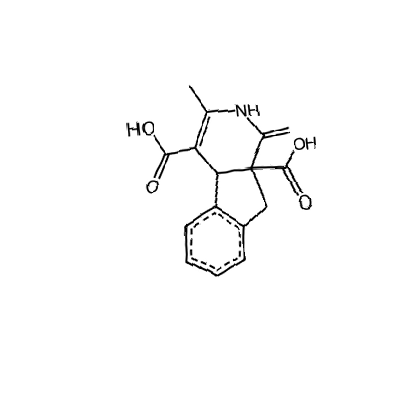 C=C1NC(C)=C(C(=O)O)C2c3ccccc3CC12C(=O)O